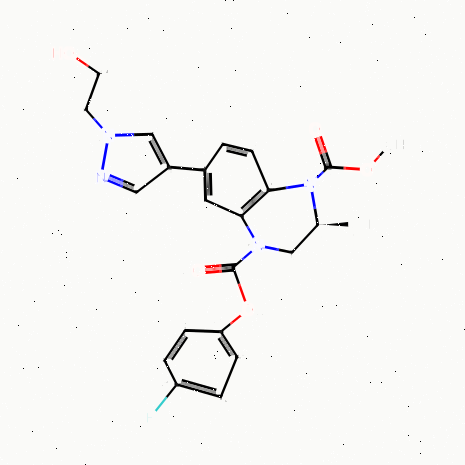 COC(=O)N1c2ccc(-c3cnn(CCO)c3)cc2N(C(=O)Oc2ccc(F)cc2)C[C@@H]1C